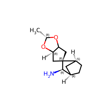 C[C@@H]1OC2C[C@@]3(C[C@H]2O1)[C@H]1CC[C@H](C1)[C@H]3N